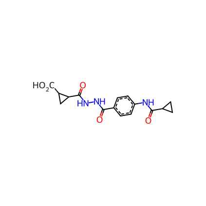 O=C(NNC(=O)C1CC1C(=O)O)c1ccc(NC(=O)C2CC2)cc1